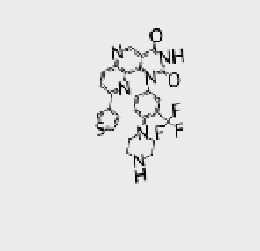 O=c1[nH]c(=O)n(-c2ccc(N3CCNCC3)c(C(F)(F)F)c2)c2c1cnc1ccc(-c3ccsc3)nc12